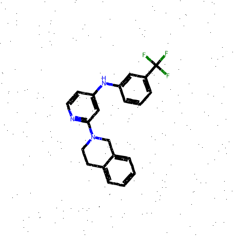 FC(F)(F)c1cccc(Nc2ccnc(N3CCc4ccccc4C3)c2)c1